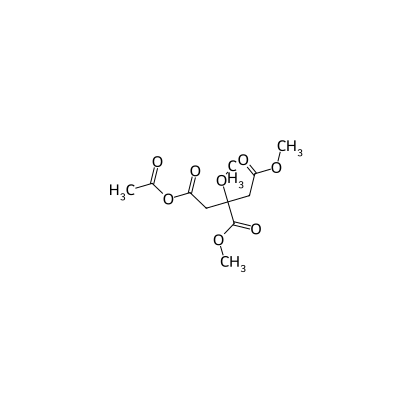 COC(=O)CC(CC(=O)OC(C)=O)(OC)C(=O)OC